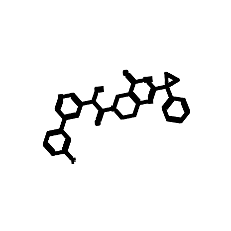 O=C(C(O)c1cncc(-c2cccc(F)c2)c1)N1CCc2nc(C3(c4ccccc4)CC3)[nH]c(=O)c2C1